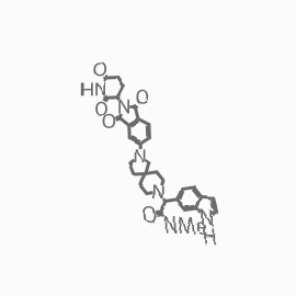 CNC(=O)C(c1ccc2cc[nH]c2c1)N1CCC2(CCN(c3ccc4c(c3)C(=O)N(C3CCC(=O)NC3=O)C4=O)C2)CC1